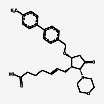 Cc1ccc(-c2ccc(CO[C@H]3CC(=O)[C@H](N4CCOCC4)[C@H]3CC=CCCCC(=O)O)cc2)cc1